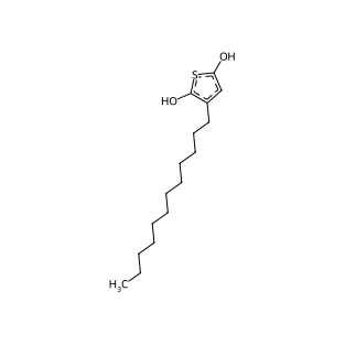 CCCCCCCCCCCCc1cc(O)sc1O